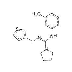 Cc1cccc(NC(=NCc2ccsc2)N2CCCC2)c1